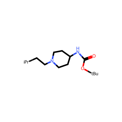 CC(C)CCN1CCC(NC(=O)OC(C)(C)C)CC1